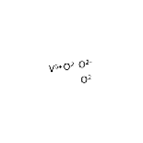 [O-2].[O-2].[O-2].[V+6]